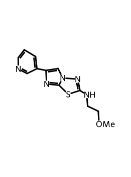 COCCNc1nn2cc(-c3cccnc3)nc2s1